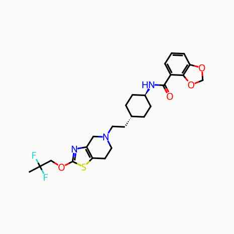 CC(F)(F)COc1nc2c(s1)CCN(CC[C@H]1CC[C@H](NC(=O)c3cccc4c3OCO4)CC1)C2